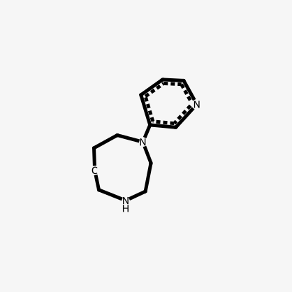 c1cncc(N2CCCCNCC2)c1